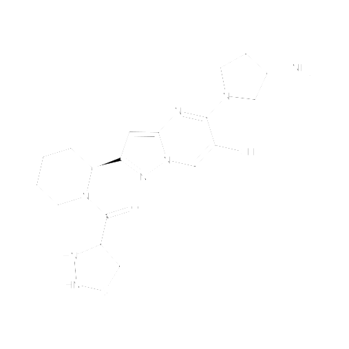 Cc1cn2nc([C@@H]3CCCCN3C(=O)C3CSNN3)cc2nc1N1CC[C@H](N)C1